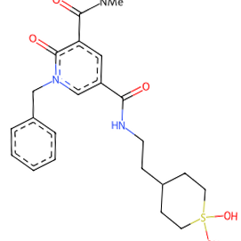 CNC(=O)c1cc(C(=O)NCCC2CCS(O)(O)CC2)cn(Cc2ccccc2)c1=O